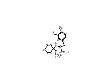 O=C(O)CC1(N[C@@H](Cc2ccc(O)c(Cl)c2)C(=O)O)CCCCC1